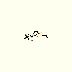 CCCOc1ccn(C(=O)OC(C)(C)C)n1